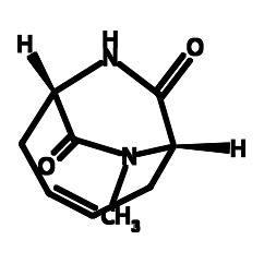 CN1C(=O)[C@@H]2C/C=C\C[C@H]1C(=O)N2